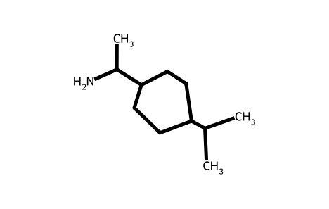 CC(C)C1CCC(C(C)N)CC1